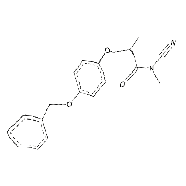 CC(Oc1ccc(OCc2ccccc2)cc1)C(=O)N(C)C#N